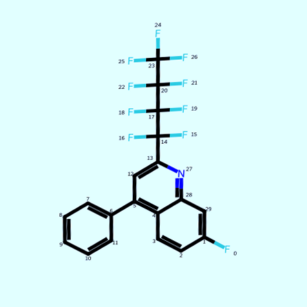 Fc1ccc2c(-c3ccccc3)cc(C(F)(F)C(F)(F)C(F)(F)C(F)(F)F)nc2c1